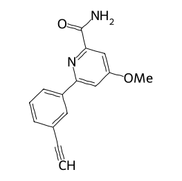 C#Cc1cccc(-c2cc(OC)cc(C(N)=O)n2)c1